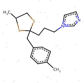 Cc1ccc(CC2(CCCn3ccnc3)SCC(C)S2)cc1